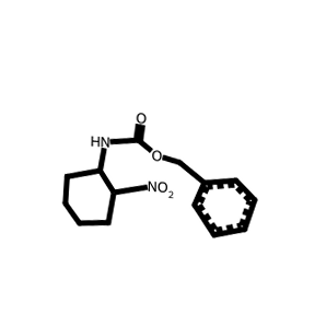 O=C(NC1CCCCC1[N+](=O)[O-])OCc1ccccc1